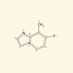 Cc1c(F)ccn2c[c]nc12